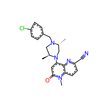 C[C@@H]1CN(c2cc(=O)n(C)c3ccc(C#N)nc23)[C@@H](C)CN1Cc1ccc(Cl)cc1